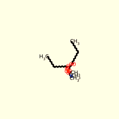 CCCCCCCC/C=C\CCCCCCCC(=O)OCC(COP(=O)(OCC)OCCN(C)C)OC(=O)CCCCCCC/C=C\CCCCCCCC